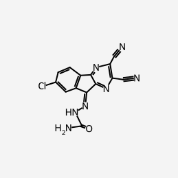 N#Cc1nc2c(nc1C#N)-c1ccc(Cl)cc1/C2=N\NC(N)=O